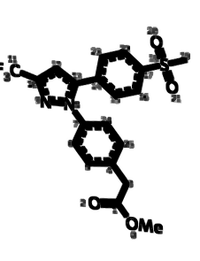 COC(=O)Cc1ccc(-n2nc(C(F)(F)F)cc2-c2ccc(S(C)(=O)=O)cc2)cc1